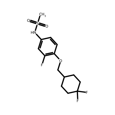 CS(=O)(=O)Nc1ccc(OCC2CCC(F)(F)CC2)c(F)c1